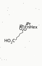 CCCCCCC(OC(=O)CCCCCC(=O)O)(C(C)C)C(C)C